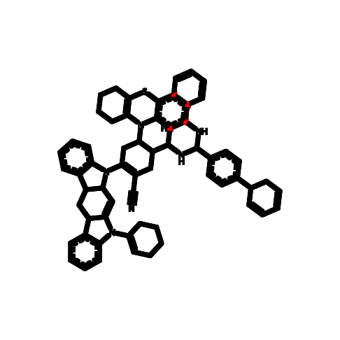 N#CC1=C(N2c3ccccc3C3CC4C(=CC32)N(C2=CCCCC2)c2ccccc24)CC(N2C3=C(CCCC3)Sc3ccccc32)C(C2NC(c3ccc(C4C=CC=CC4)cc3)NC(C3C=CC=CC3)N2)C1